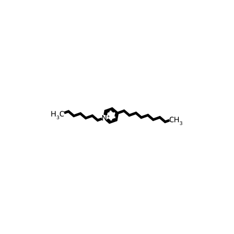 CCCCCCCCCc1cc[n+](CCCCCCC)cc1